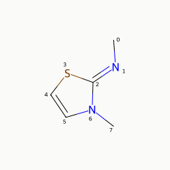 C/N=c1\sccn1C